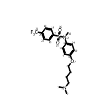 CN(C)CCCCOc1ccc(N(C)S(=O)(=O)c2ccc(C(F)(F)F)cc2)cc1